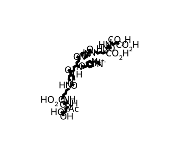 CC(=O)[C@H](CCC(O)O)NC(=O)N[C@H](CCCCNC(=O)N1CCN(C(=O)CCC(CCC(=O)N2CCN(C(=O)NCCCC[C@H](NC(=O)N[C@H](CCC(=O)O)C(=O)O)C(=O)O)CC2)NOCc2ccc(N=[N+]=[N-])cc2)CC1)C(=O)O